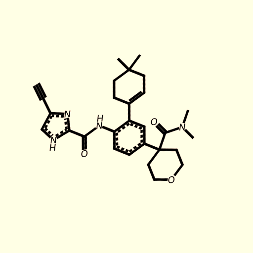 C#Cc1c[nH]c(C(=O)Nc2ccc(C3(C(=O)N(C)C)CCOCC3)cc2C2=CCC(C)(C)CC2)n1